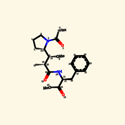 CCCCCCC(=O)N1CCC[C@H]1[C@H](OC)[C@@H](C)C(=O)N[C@@H](Cc1ccccc1)C(=O)OC